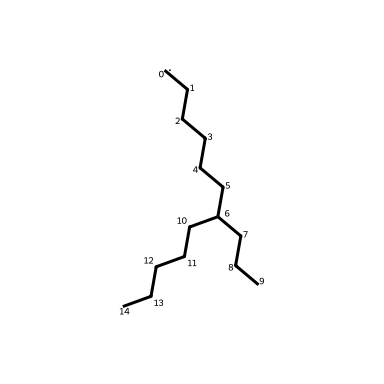 [CH2]CCCCCC(CCC)CCCCC